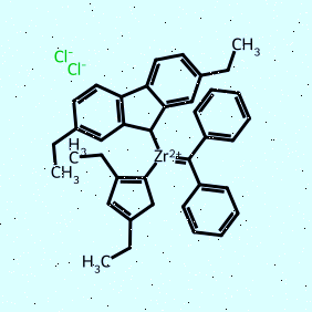 CCC1=CC(CC)=[C]([Zr+2](=[C](c2ccccc2)c2ccccc2)[CH]2c3cc(CC)ccc3-c3ccc(CC)cc32)C1.[Cl-].[Cl-]